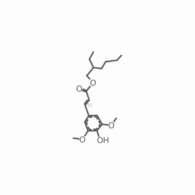 CCCCC(CC)COC(=O)/C=C/c1cc(OC)c(O)c(OC)c1